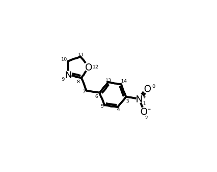 O=[N+]([O-])c1ccc(CC2=NCCO2)cc1